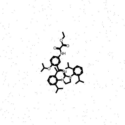 CCOC(=O)C(=O)Nc1ccc(OC(C)C)c([CH]=[Ru]=[C]2N(c3c(C(C)C)cccc3C(C)C)CCN2c2c(C(C)C)cccc2C(C)C)c1